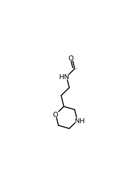 O=[C]NCCC1CNCCO1